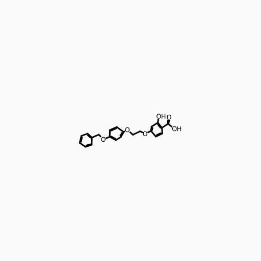 O=C(O)c1ccc(OCCOc2ccc(OCc3ccccc3)cc2)cc1O